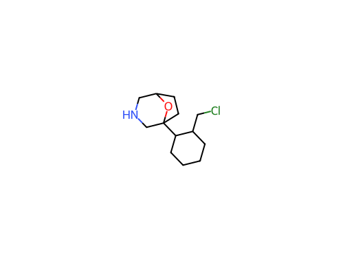 ClCC1CCCCC1C12CCC(CNC1)O2